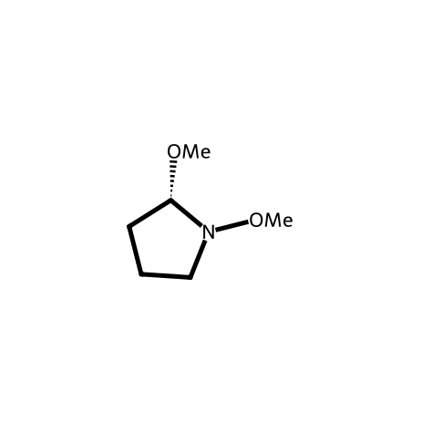 CO[C@H]1CCCN1OC